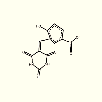 O=C1NC(=O)C(=Cc2cc([N+](=O)[O-])ccc2O)C(=O)N1